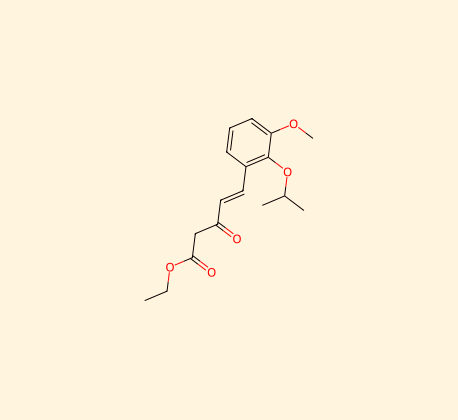 CCOC(=O)CC(=O)C=Cc1cccc(OC)c1OC(C)C